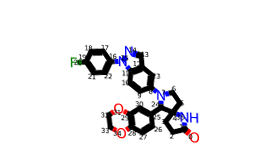 O=C1CCC2(CCN(c3ccc4c(cnn4-c4ccc(F)cc4)c3)C2c2ccc3c(c2)OCCO3)N1